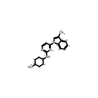 Cc1cn(-c2ccnc(NC3CCC(O)CC3)n2)c2ccccc12